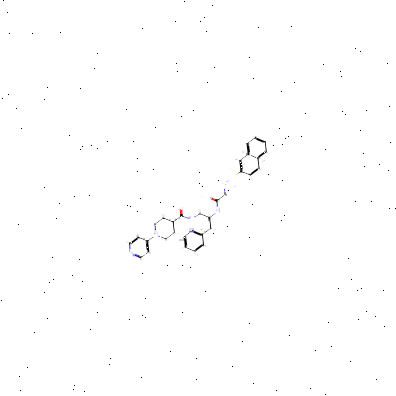 O=C(CNS(=O)(=O)c1ccc2ccccc2c1)NC(CNC(=O)C1CCN(c2ccncc2)CC1)Cc1ccccc1